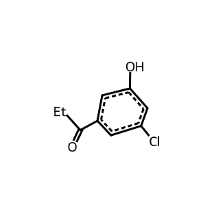 CCC(=O)c1cc(O)cc(Cl)c1